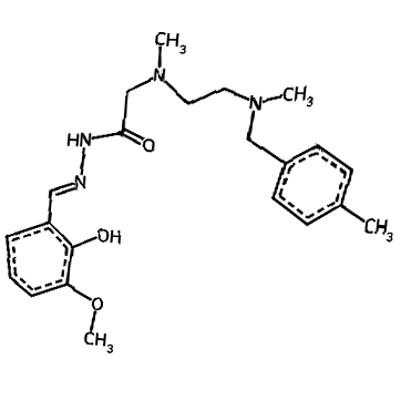 COc1cccc(/C=N/NC(=O)CN(C)CCN(C)Cc2ccc(C)cc2)c1O